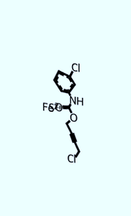 O=C(Nc1cccc(Cl)c1)OCC#CCCl.[Fe+2].[S-2]